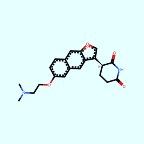 CN(C)CCOc1ccc2cc3occ([C@@H]4CCC(=O)NC4=O)c3cc2c1